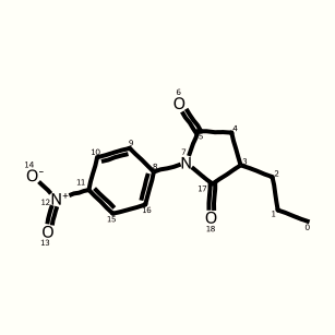 CCCC1CC(=O)N(c2ccc([N+](=O)[O-])cc2)C1=O